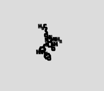 CCCCOc1nc(N)c2c(n1)N(CC1=CCNC(N3CCOCC3)=C1)CC(=O)N2